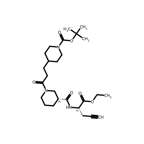 C#CC[C@H](NC(=O)[C@@H]1CCCN(C(=O)CCC2CCN(C(=O)OC(C)(C)C)CC2)C1)C(=O)OCC